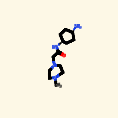 CN1CCN(CC(=O)N[C@H]2CC[C@@H](N)CC2)CC1